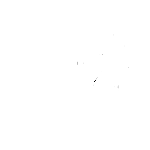 CCCCCCCCO[C@H]1C(O)O[C@H](CO)[C@H](O)[C@@H]1O